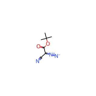 CC(C)(C)OC(=O)C(C#N)=[N+]=[N-]